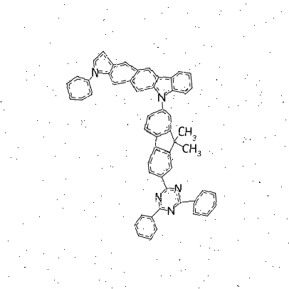 CC1(C)c2cc(-c3nc(-c4ccccc4)nc(-c4ccccc4)n3)ccc2-c2ccc(-n3c4ccccc4c4cc5cc6ccn(-c7ccccc7)c6cc5cc43)cc21